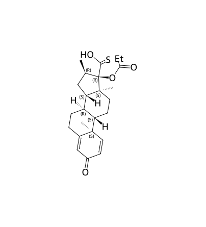 CCC(=O)O[C@]1(C(O)=S)[C@H](C)C[C@H]2[C@@H]3CCC4=CC(=O)C=C[C@]4(C)[C@H]3CC[C@@]21C